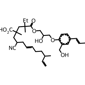 C=CC(C)CCC=CCC(C#N)CC(C)(CC(C)(CC)C(=O)OCC(O)COc1ccc(C=CC)cc1CO)C(=O)O